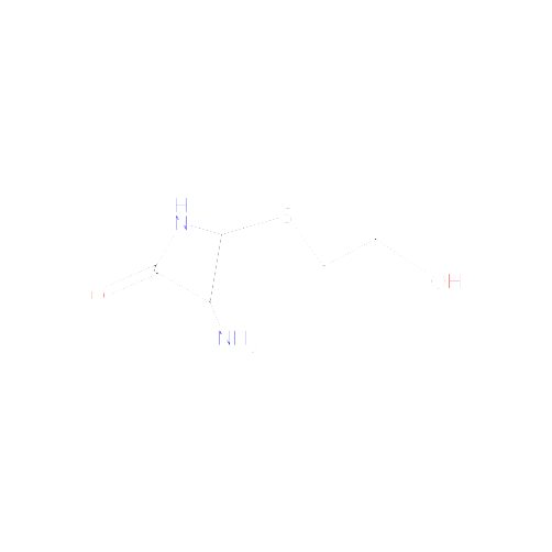 NC1C(=O)NC1SCCO